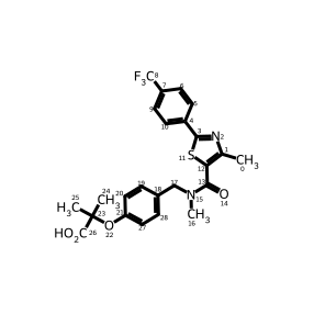 Cc1nc(-c2ccc(C(F)(F)F)cc2)sc1C(=O)N(C)Cc1ccc(OC(C)(C)C(=O)O)cc1